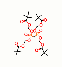 CC(C)(C)C(=O)OCOP(=O)(CP(=O)(OCOC(=O)C(C)(C)C)OCOC(=O)C(C)(C)C)OCOC(=O)C(C)(C)C